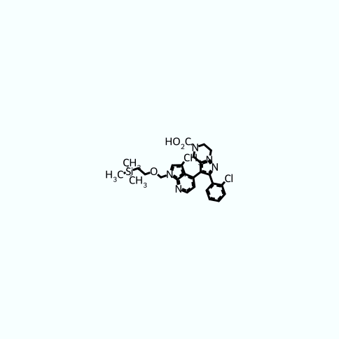 Cc1cn(COCC[Si](C)(C)C)c2nccc(-c3c(-c4ccccc4Cl)nn4c3CN(C(=O)O)CC4)c12